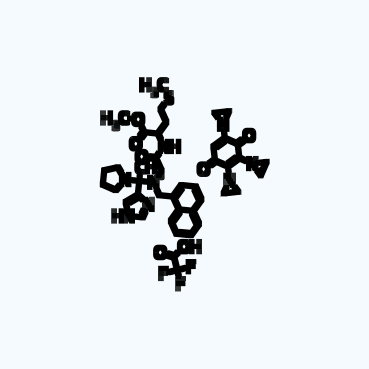 COC(=O)C(CCSC)NC(=O)CN(Cc1cccc2ccccc12)C(C)(c1c[nH]cn1)N1CCCC1.O=C(O)C(F)(F)F.O=C1C=C(N2CC2)C(=O)C(N2CC2)=C1N1CC1